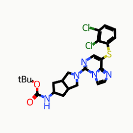 CC(C)(C)OC(=O)NC1CC2CN(c3ncc(Sc4cccc(Cl)c4Cl)c4nccn34)CC2C1